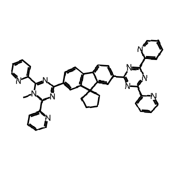 CN1C(c2ccccn2)=NC(c2ccc3c(c2)C2(CCCC2)c2cc(-c4nc(-c5ccccn5)nc(-c5ccccn5)n4)ccc2-3)=NC1c1ccccn1